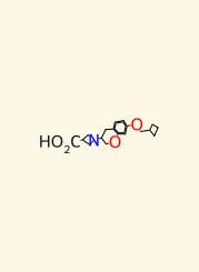 O=C(O)C1CN(C2COc3cc(OCC4CCC4)ccc3C2)C1